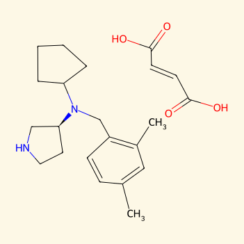 Cc1ccc(CN(C2CCCC2)[C@H]2CCNC2)c(C)c1.O=C(O)C=CC(=O)O